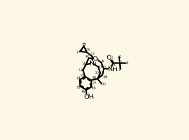 CC(C)(C)C(=O)NC1COCC2Cc3ccc(O)cc3C(C)(CCN2CC2CC2)C1